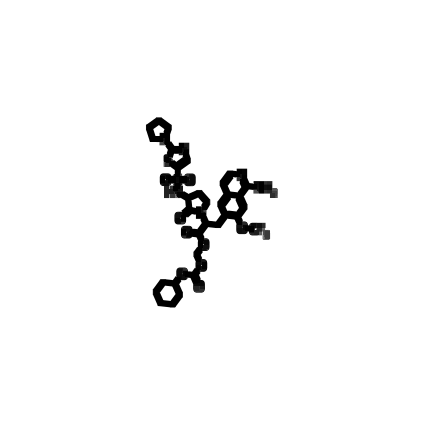 Nc1nccc2cc(CC(C(=O)OCOC(=O)OC3CCCCC3)N3CCC(NS(=O)(=O)c4cnc(N5CCCC5)s4)C3=O)c(OC(F)(F)F)cc12